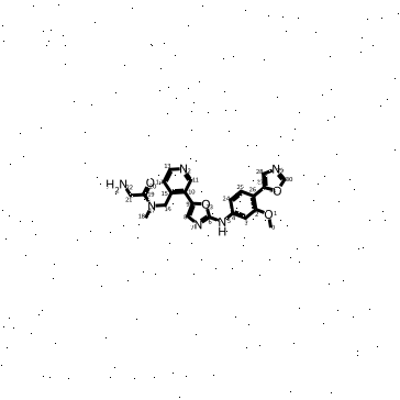 COc1cc(Nc2ncc(-c3cnccc3CN(C)C(=O)CN)o2)ccc1-c1cnco1